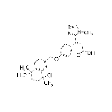 Cn1cnnc1C(CC(=O)O)c1ccc(OCc2ccc3c(c2)C(C)(C)CCC3(C)C)cc1